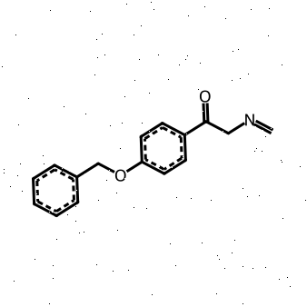 C=NCC(=O)c1ccc(OCc2ccccc2)cc1